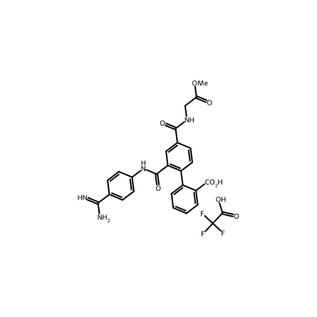 COC(=O)CNC(=O)c1ccc(-c2ccccc2C(=O)O)c(C(=O)Nc2ccc(C(=N)N)cc2)c1.O=C(O)C(F)(F)F